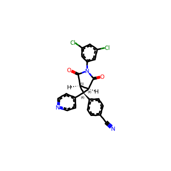 N#Cc1ccc([C@]2(c3ccncc3)[C@@H]3C(=O)N(c4cc(Cl)cc(Cl)c4)C(=O)[C@@H]32)cc1